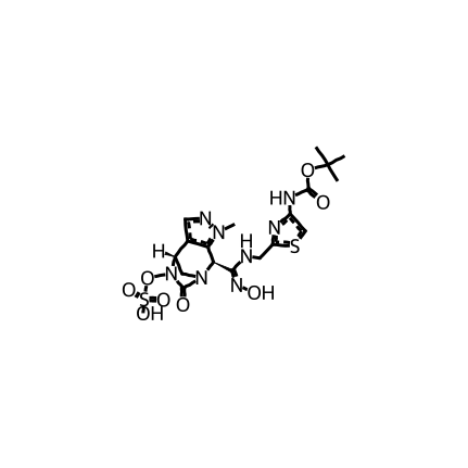 Cn1ncc2c1[C@@H](/C(=N/O)NCc1nc(NC(=O)OC(C)(C)C)cs1)N1C[C@@H]2N(OS(=O)(=O)O)C1=O